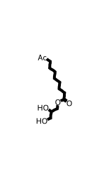 CC(=O)CCCCCCCC(=O)OCC(O)CO